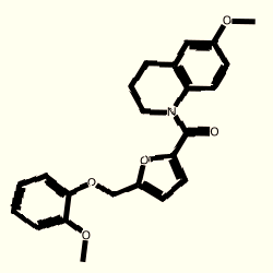 COc1ccc2c(c1)CCCN2C(=O)c1ccc(COc2ccccc2OC)o1